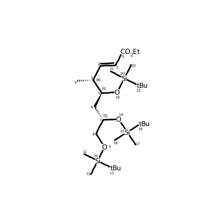 CCOC(=O)C=C[C@@H](C)[C@H](C[C@@H](CO[Si](C)(C)C(C)(C)C)O[Si](C)(C)C(C)(C)C)O[Si](C)(C)C(C)(C)C